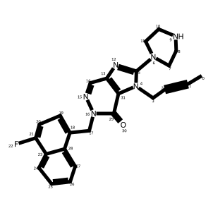 CC#CCn1c(N2CCNCC2)nc2cnn(Cc3ccc(F)c4ccccc34)c(=O)c21